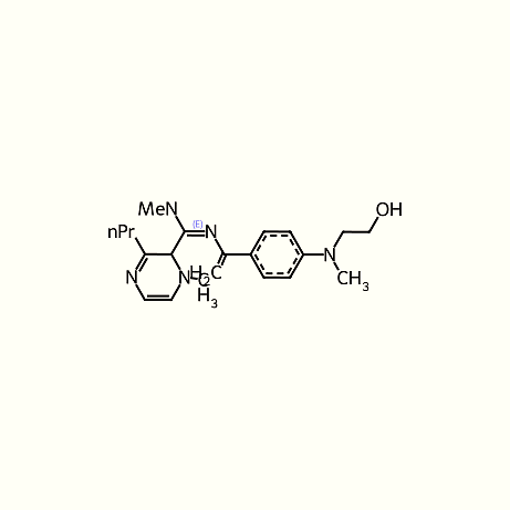 C=C(/N=C(/NC)C1C(CCC)=NC=CN1C)c1ccc(N(C)CCO)cc1